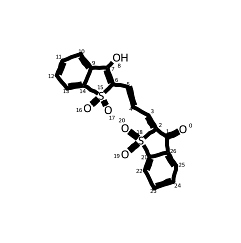 O=C1C(=CC=CC2=C(O)c3ccccc3S2(=O)=O)S(=O)(=O)c2ccccc21